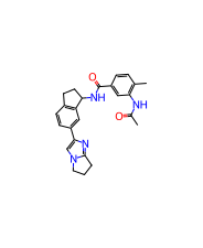 CC(=O)Nc1cc(C(=O)NC2CCc3ccc(-c4cn5c(n4)CCC5)cc32)ccc1C